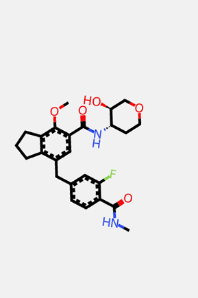 CNC(=O)c1ccc(Cc2cc(C(=O)N[C@H]3CCOC[C@@H]3O)c(OC)c3c2CCC3)cc1F